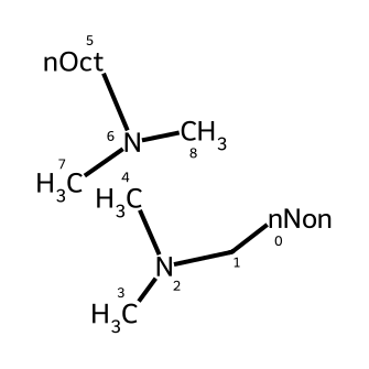 CCCCCCCCCCN(C)C.CCCCCCCCN(C)C